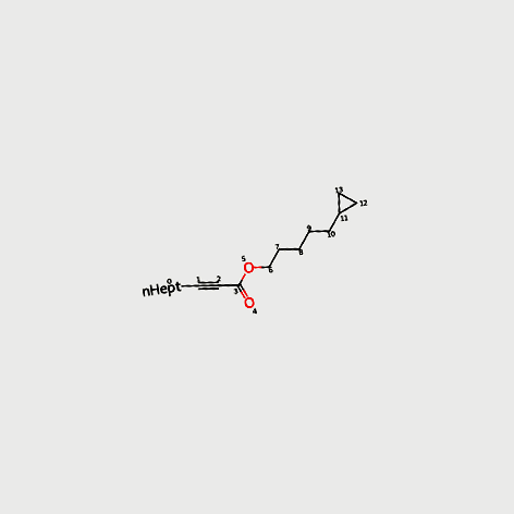 CCCCCCCC#CC(=O)OCCCCCC1CC1